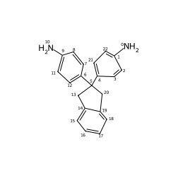 Nc1ccc(C2(c3ccc(N)cc3)Cc3ccccc3C2)cc1